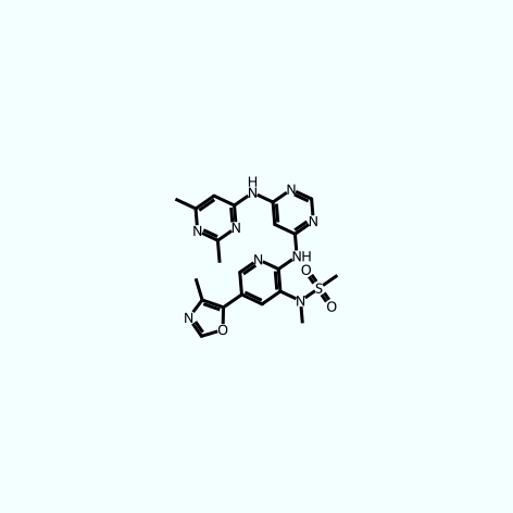 Cc1cc(Nc2cc(Nc3ncc(-c4ocnc4C)cc3N(C)S(C)(=O)=O)ncn2)nc(C)n1